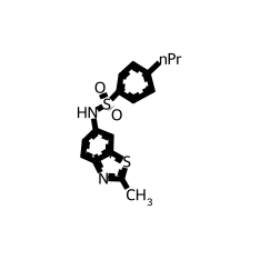 CCCc1ccc(S(=O)(=O)Nc2ccc3nc(C)sc3c2)cc1